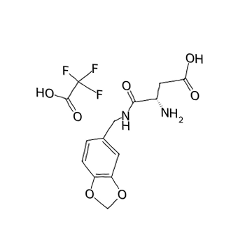 N[C@@H](CC(=O)O)C(=O)NCc1ccc2c(c1)OCO2.O=C(O)C(F)(F)F